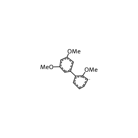 COc1cc(OC)cc(-c2ccc[c]c2OC)c1